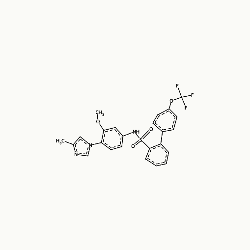 COc1cc(NS(=O)(=O)c2ccccc2-c2ccc(OC(F)(F)F)cc2)ccc1-n1cnc(C)c1